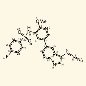 COc1ncc(-c2ccn3ncc(N=[N+]=[N-])c3c2)cc1NS(=O)(=O)c1ccc(F)cc1